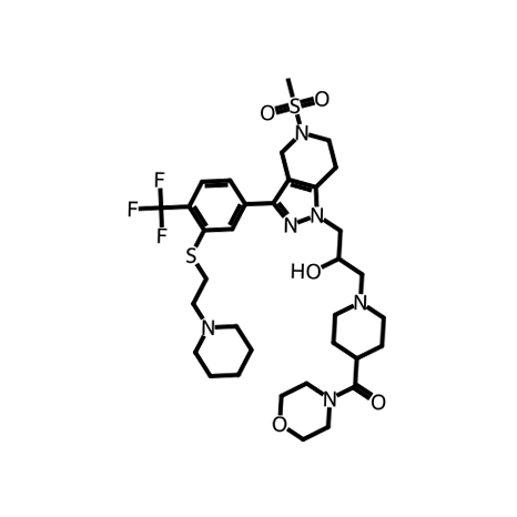 CS(=O)(=O)N1CCc2c(c(-c3ccc(C(F)(F)F)c(SCCN4CCCCC4)c3)nn2CC(O)CN2CCC(C(=O)N3CCOCC3)CC2)C1